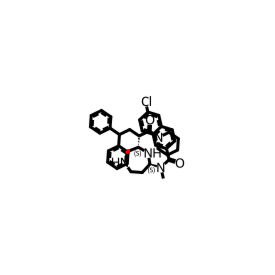 CN(C(=O)c1ccc2cc(Cl)ccc2c1)[C@H]1CCNC[C@H](C(CC(c2ccccc2)c2ccccc2)C(=O)N2CCCCC2)N1